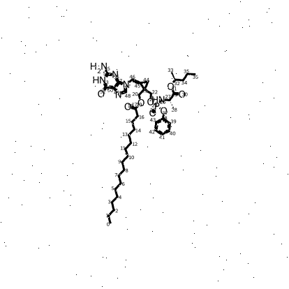 CCCCCCCCCCCCCCCCCC(=O)OCC1(COP(=O)(N[C@@H](C)C(=O)O[C@@H](C)CCC)Oc2ccccc2)C/C1=C/n1cnc2c(=O)[nH]c(N)nc21